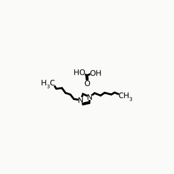 CCCCCCN1C=CN(CCCCCC)C1.O=C(O)O